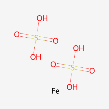 O=S(=O)(O)O.O=S(=O)(O)O.[Fe]